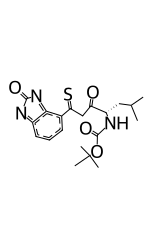 CC(C)C[C@H](NC(=O)OC(C)(C)C)C(=O)CC(=S)c1cccc2c1=NC(=O)N=2